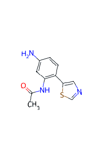 CC(=O)Nc1cc(N)ccc1-c1cncs1